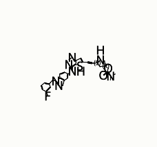 CN(C)C(=O)O[C@H]1CN[C@H](C#Cc2cc3ncnc(Nc4ccc5c(cnn5Cc5cccc(F)c5)c4)c3s2)C1